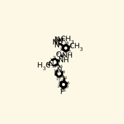 Cc1cc(NC(=O)N[C@@H]2CCN(C)C[C@H]2CN2CCC[C@@H](Cc3ccc(F)cc3)C2)cc(-c2nnnn2C)c1